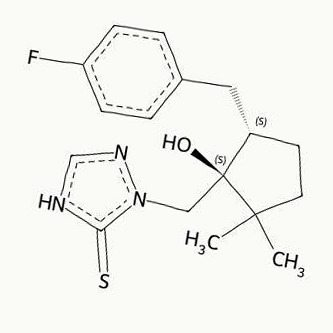 CC1(C)CC[C@@H](Cc2ccc(F)cc2)[C@@]1(O)Cn1nc[nH]c1=S